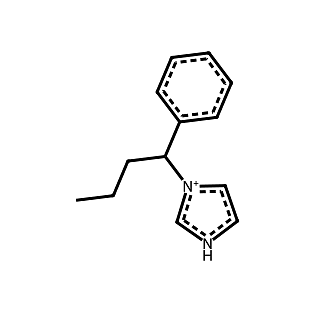 CCCC(c1ccccc1)[n+]1cc[nH]c1